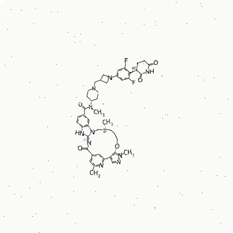 Cc1cc2cc(n1)-c1cnn(C)c1OCCC[C@@H](C)CN1/C(=N/C2=O)Nc2ccc(C(=O)N(C)C3CCN(CC4CN(c5cc(F)c([C@H]6CCC(=O)NC6=O)c(F)c5)C4)CC3)cc21